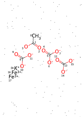 CC(=O)[O-].O=C([O-])[O-].O=C([O-])[O-].O=C([O-])[O-].[Fe+3].[Fe+3].[K+]